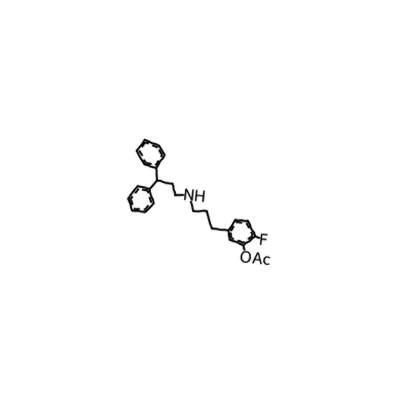 CC(=O)Oc1cc(CCCNCCC(c2ccccc2)c2ccccc2)ccc1F